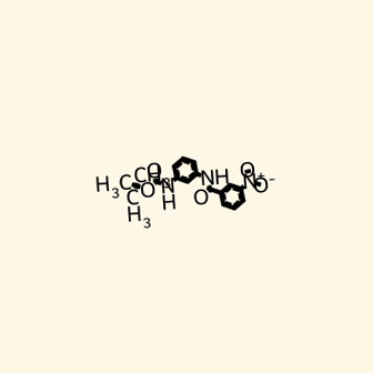 CC(C)(C)OC(=O)Nc1cccc(NC(=O)c2cccc([N+](=O)[O-])c2)c1